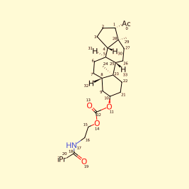 CC(=O)[C@H]1CC[C@H]2[C@@H]3CC[C@H]4C[C@H](OC(=O)OCCNC(=O)C(C)C)CC[C@]4(C)[C@H]3CC[C@]12C